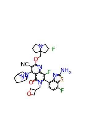 N#Cc1c(OC[C@@]23CCCN2C[C@H](F)C3)nc2c(F)c(-c3ccc(F)c4sc(N)nc34)n(CC3COC3)c(=O)c2c1N1CC2CCC(C1)N2